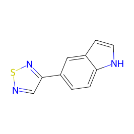 c1cc2cc(-c3cnsn3)ccc2[nH]1